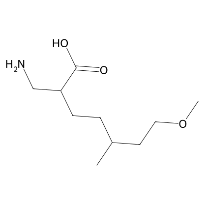 COCCC(C)CCC(CN)C(=O)O